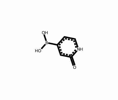 O=c1cc(B(O)O)cc[nH]1